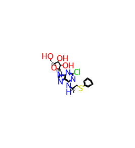 C[C@H](CSc1ccccc1)Nc1nc(Cl)nc2c1ncn2[C@@H]1O[C@H](CO)C(O)C1O